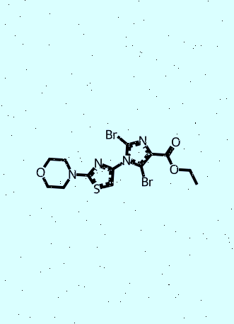 CCOC(=O)c1nc(Br)n(-c2csc(N3CCOCC3)n2)c1Br